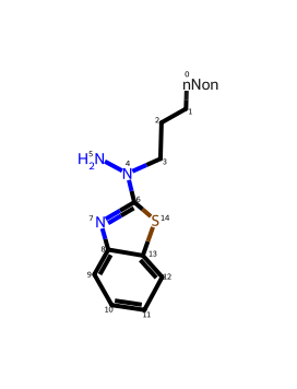 CCCCCCCCCCCCN(N)c1nc2ccccc2s1